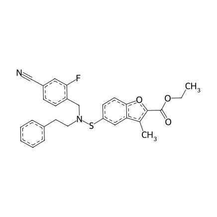 CCOC(=O)c1oc2ccc(SN(CCc3ccccc3)Cc3ccc(C#N)cc3F)cc2c1C